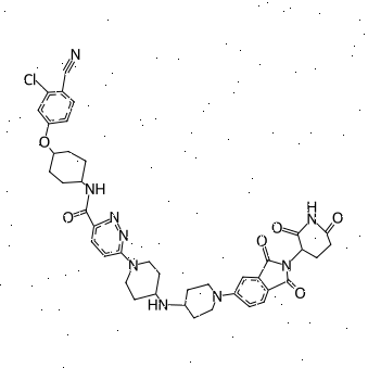 N#Cc1ccc(OC2CCC(NC(=O)c3ccc(N4CCC(NC5CCN(c6ccc7c(c6)C(=O)N(C6CCC(=O)NC6=O)C7=O)CC5)CC4)nn3)CC2)cc1Cl